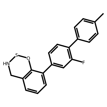 Cc1ccc(-c2ccc(-c3cccc4c3OSNC4)cc2F)cc1